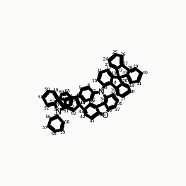 c1ccc(-c2ccc(N(c3cccc4c3-c3ccccc3C43c4ccccc4-c4ccccc43)c3cccc4oc5ccc(-c6ccc7c8ccccc8n(-c8ccccc8)c7c6)cc5c34)cc2)cc1